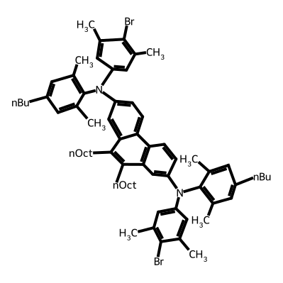 CCCCCCCCc1c(CCCCCCCC)c2cc(N(c3cc(C)c(Br)c(C)c3)c3c(C)cc(CCCC)cc3C)ccc2c2ccc(N(c3cc(C)c(Br)c(C)c3)c3c(C)cc(CCCC)cc3C)cc12